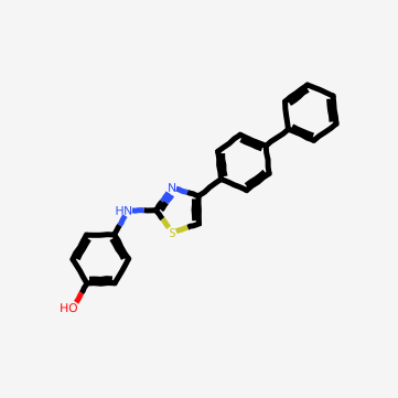 Oc1ccc(Nc2nc(-c3ccc(-c4ccccc4)cc3)cs2)cc1